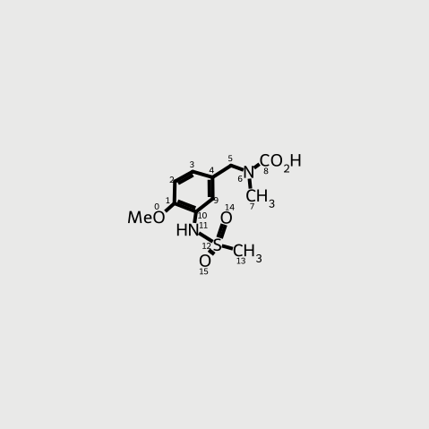 COc1ccc(CN(C)C(=O)O)cc1NS(C)(=O)=O